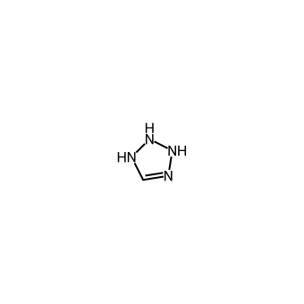 C1=NNNN1